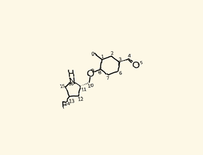 CC1CC(C=O)CCC1OC[C@@H]1CC(F)CN1